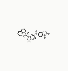 CC1(C)CN(S(=O)(=O)c2cccc3cccnc23)c2nc(Nc3ccc4c(c3)CCC(=O)N4)ncc21